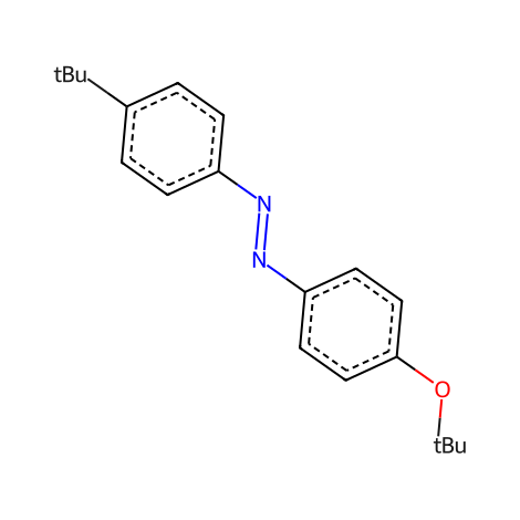 CC(C)(C)Oc1ccc(/N=N/c2ccc(C(C)(C)C)cc2)cc1